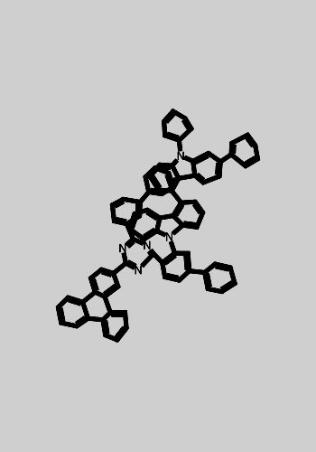 c1ccc(-c2cccc(-c3nc(-c4ccc5c6ccccc6c6ccccc6c5c4)nc(-c4ccc(-c5ccccc5)cc4-n4c5ccccc5c5c(-c6cccc7c6c6ccc(-c8ccccc8)cc6n7-c6ccccc6)cccc54)n3)c2)cc1